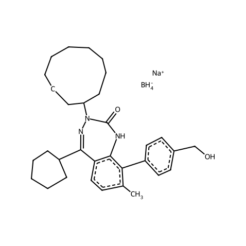 Cc1ccc2c(c1-c1ccc(CO)cc1)NC(=O)N(C1CCCCCCCCC1)N=C2C1CCCCC1.[BH4-].[Na+]